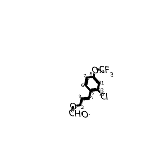 O=[C]OC/C=C/c1ccc(OC(F)(F)F)cc1Cl